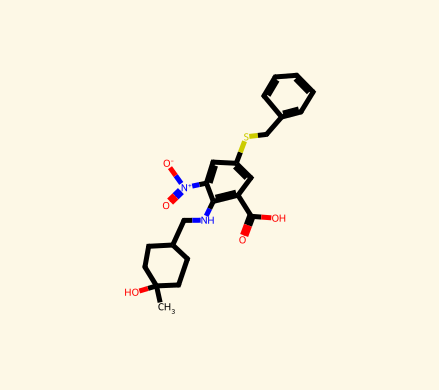 CC1(O)CCC(CNc2c(C(=O)O)cc(SCc3ccccc3)cc2[N+](=O)[O-])CC1